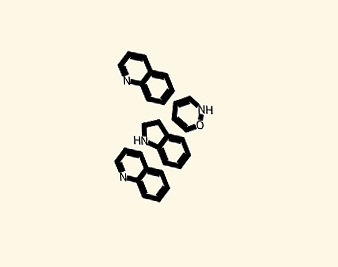 C1=CNOC=C1.c1ccc2c(c1)CCN2.c1ccc2ncccc2c1.c1ccc2ncccc2c1